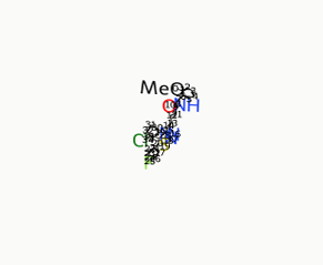 COc1ccccc1CNC(=O)CCCCc1nnc(SCc2ccc(F)cc2)n1-c1cccc(Cl)c1